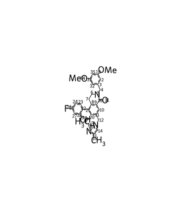 COc1cc(CN2CCc3c(cc(Cn4cc(C)nc4C)cc3-c3ccc(F)cc3C)C2=O)cc(OC)c1